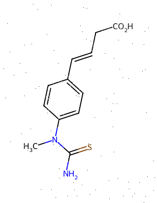 CN(C(N)=S)c1ccc(C=CCC(=O)O)cc1